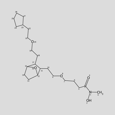 CN(O)C(=O)CCCOCCC1C2CCC(O2)C1CCOCCC1CCCC1